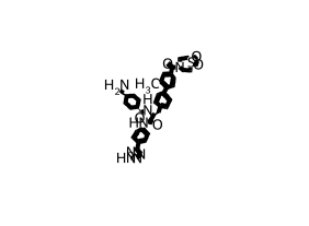 Cc1cc(C(=O)N2CCS(=O)(=O)CC2)ccc1-c1ccc(C[C@H](NC(=O)[C@H]2CC[C@H](CN)CC2)C(=O)Nc2ccc(-c3nn[nH]n3)cc2)cc1